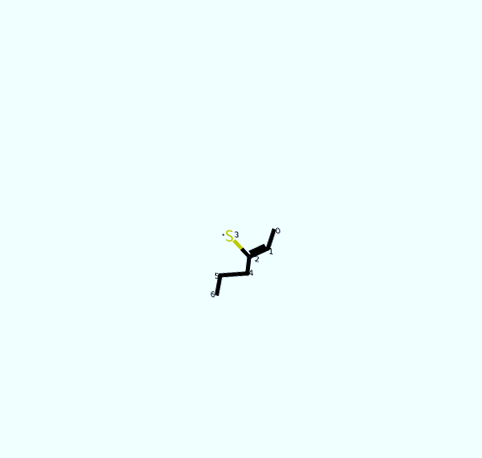 C/C=C(\[S])CCC